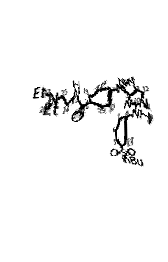 CCCCS(=O)(=O)c1cccc(Nc2ncc3nnn(-c4ccc(C(=O)NCCN(CC)CC)cc4)c3n2)c1